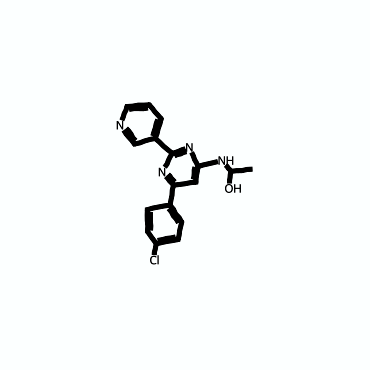 CC(O)Nc1cc(-c2ccc(Cl)cc2)nc(-c2cccnc2)n1